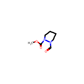 COC(=O)N1CCCCN1C=O